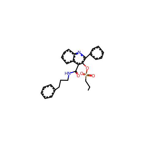 CCCS(=O)(=O)Oc1c(-c2ccccc2)nc2ccccc2c1C(=O)NCCCc1ccccc1